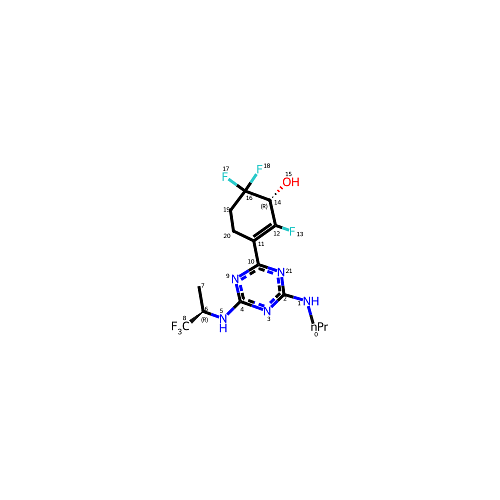 CCCNc1nc(N[C@H](C)C(F)(F)F)nc(C2=C(F)[C@@H](O)C(F)(F)CC2)n1